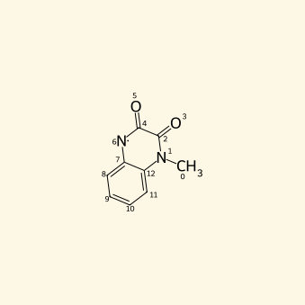 CN1C(=O)C(=O)[N]c2ccccc21